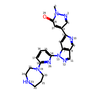 Cn1ncc(-c2cc3c(cn2)cnn3-c2cccc(N3CCCNCC3)n2)cc1=O